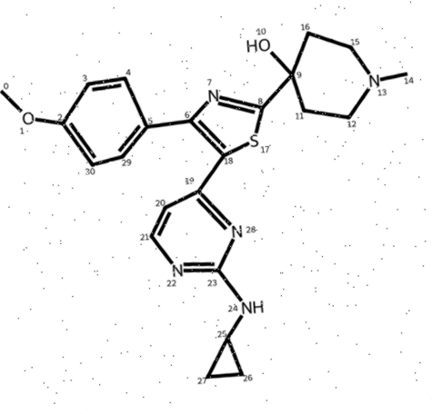 COc1ccc(-c2nc(C3(O)CCN(C)CC3)sc2-c2ccnc(NC3CC3)n2)cc1